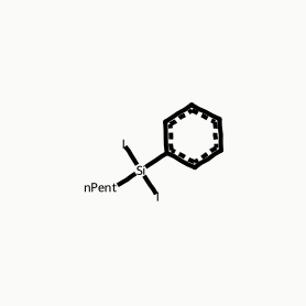 CCCCC[Si](I)(I)c1ccccc1